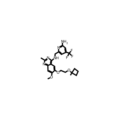 COc1cc2nc(C)nc(NCc3cc(C(F)(F)F)cc(N)n3)c2cc1OCCOC1(C)CCC1